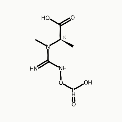 C[C@H](C(=O)O)N(C)C(=N)NO[PH](=O)O